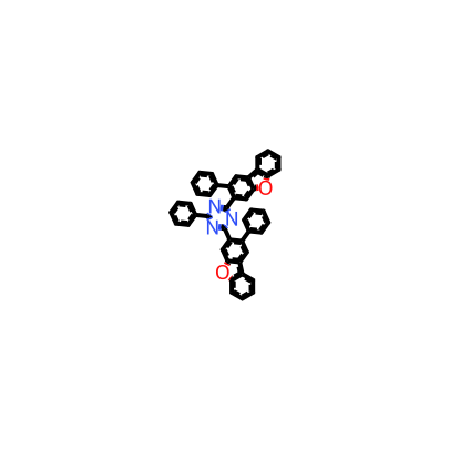 c1ccc(-c2nc(-c3cc4oc5ccccc5c4cc3-c3ccccc3)nc(-c3cc4oc5ccccc5c4cc3-c3ccccc3)n2)cc1